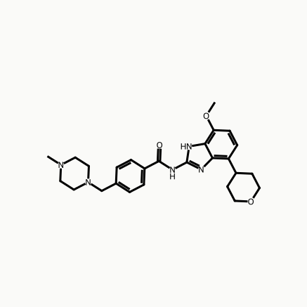 COc1ccc(C2CCOCC2)c2nc(NC(=O)c3ccc(CN4CCN(C)CC4)cc3)[nH]c12